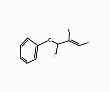 FC=C(F)C(F)Oc1ccccc1